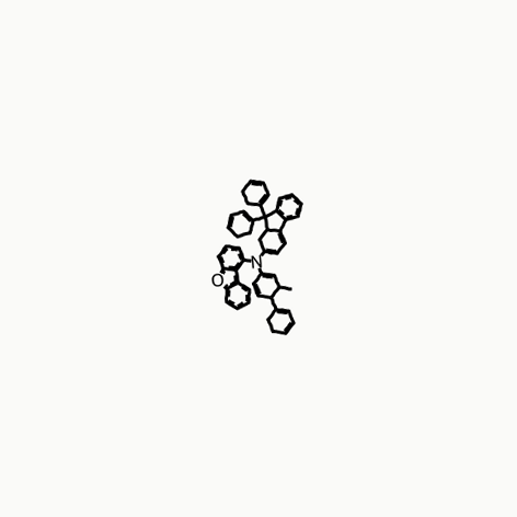 CC1C=C(N(C2=CC=C3c4ccccc4C(C4=CC=CCC4)(C4=CC=CCC4)C3C2)c2cccc3oc4ccccc4c23)C=CC1C1=CC=CCC1